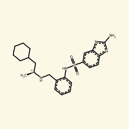 C[C@@H](CC1CCCCC1)NCc1ccccc1NS(=O)(=O)c1ccc2sc(N)nc2c1